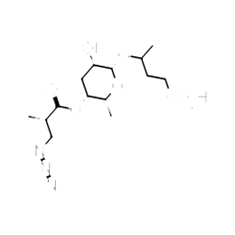 CC(CCC(=O)O)O[C@@H]1O[C@@H](C)[C@H](OC(=O)[C@H](C)CN=[N+]=[N-])C[C@H]1O